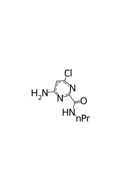 CCCNC(=O)c1nc(N)cc(Cl)n1